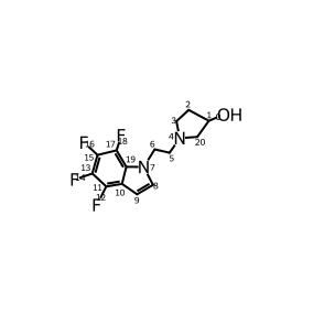 OC1CCN(CCn2ccc3c(F)c(F)c(F)c(F)c32)C1